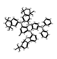 Cc1cc2c3c(c1)N(c1cccc4c1sc1cc(C(C)(C)C)ccc14)c1cc(N(c4ccccc4)c4ccccc4)ccc1B3c1cc3c(cc1N2c1ccc2c(c1)C(C)(C)CCC2(C)C)C(C)(C)CCC3(C)C